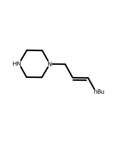 CCCCC=CCN1CCNCC1